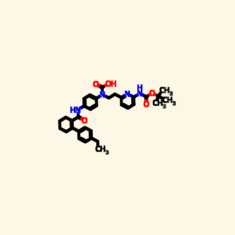 CCc1ccc(C2=C(C(=O)Nc3ccc(N(CCc4cccc(NC(=O)OC(C)(C)C)n4)C(=O)O)cc3)CCCC2)cc1